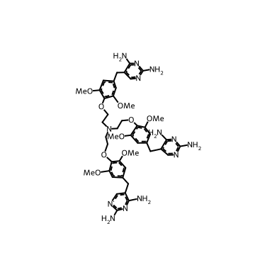 COc1cc(Cc2cnc(N)nc2N)cc(OC)c1OCCN(CCOc1c(OC)cc(Cc2cnc(N)nc2N)cc1OC)CCOc1c(OC)cc(Cc2cnc(N)nc2N)cc1OC